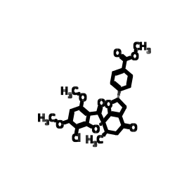 COC(=O)c1ccc([C@@H]2CC3=C(O2)[C@@]2(Oc4c(Cl)c(OC)cc(OC)c4C2=O)[C@H](C)CC3=O)cc1